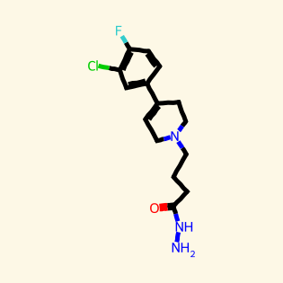 NNC(=O)CCCN1CC=C(c2ccc(F)c(Cl)c2)CC1